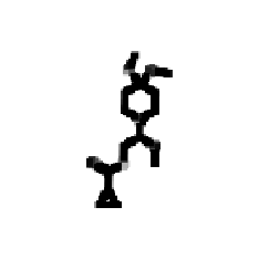 COC(COC(=O)C1CC1)N1CCC(OC)(OC)CC1